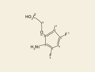 Cc1c(F)cc(F)c(N)c1OCC(=O)O